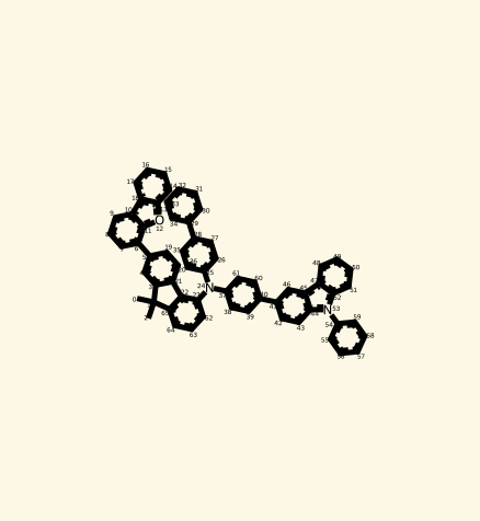 CC1(C)c2cc(-c3cccc4c3oc3ccccc34)ccc2-c2c(N(c3ccc(-c4ccccc4)cc3)c3ccc(-c4ccc5c(c4)c4ccccc4n5-c4ccccc4)cc3)cccc21